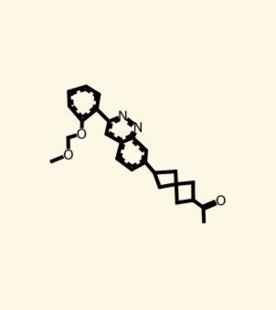 COCOc1ccccc1-c1cc2ccc(C3CC4(CC(C(C)=O)C4)C3)cc2nn1